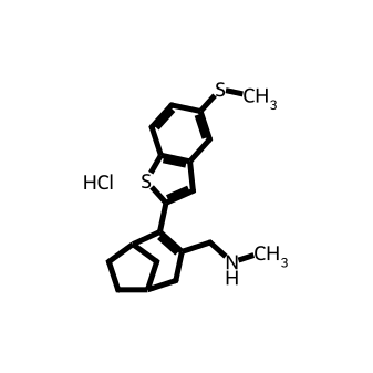 CNCC1=C(c2cc3cc(SC)ccc3s2)C2CCC(C1)C2.Cl